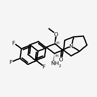 CO[C@@H](C(=O)N1C2CCC1CC([C@H](N)Cc1cc(F)c(F)cc1F)C2)c1ccccc1